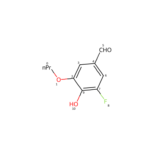 CCCOc1cc(C=O)cc(F)c1O